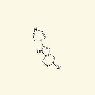 Brc1ccc2[nH]c(-c3ccncc3)cc2c1